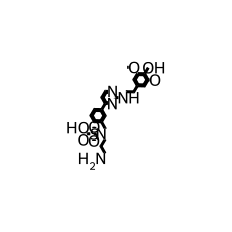 COc1cc(CCNc2nccc(-c3cccc(CN(CCCN)S(=O)(=O)C(=O)O)c3)n2)cc(OC)c1O